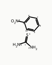 NC(N)=S.O=[N+]([O-])c1ccccc1